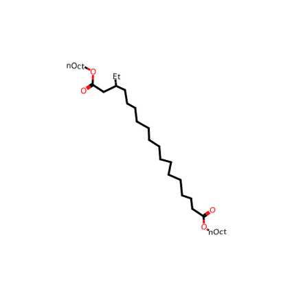 CCCCCCCCOC(=O)CCCCCCCCCCCCCCC(CC)CC(=O)OCCCCCCCC